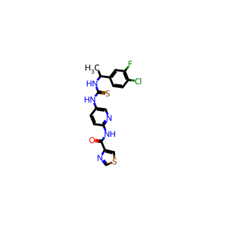 CC(NC(=S)Nc1ccc(NC(=O)c2cscn2)nc1)c1ccc(Cl)c(F)c1